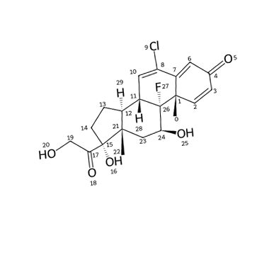 C[C@]12C=CC(=O)C=C1C(Cl)=C[C@H]1[C@@H]3CC[C@](O)(C(=O)CO)[C@@]3(C)C[C@H](O)[C@@]12F